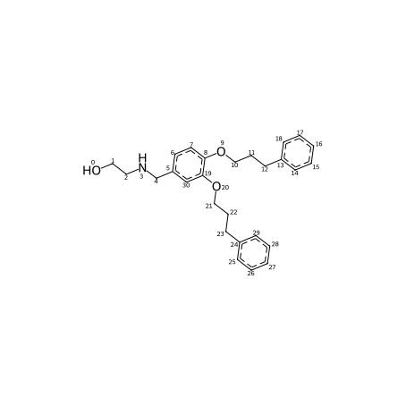 OCCNCc1ccc(OCCCc2ccccc2)c(OCCCc2ccccc2)c1